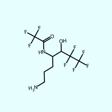 NCCCC(NC(=O)C(F)(F)F)C(O)C(F)(F)C(F)(F)F